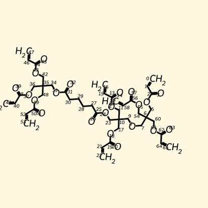 C=CC(=O)OCC(COCC(COC(=O)C=C)(COC(=O)C=C)COC(=O)CCCCC(=O)OCC(COC(=O)C=C)(COC(=O)C=C)COC(=O)C=C)(COC(=O)C=C)COC(=O)C=C